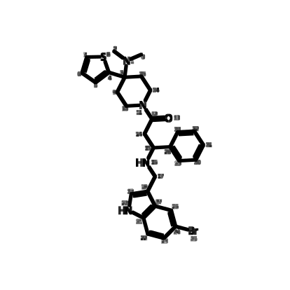 CN(C)C1(c2cccs2)CCN(C(=O)CC(NCc2c[nH]c3ccc(Br)cc23)c2ccccc2)CC1